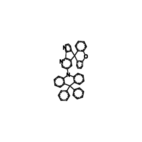 c1ccc(C2(c3ccccc3)c3ccccc3N(c3cnc4c(c3)C3(c5ccccc5Oc5ccccc53)c3cccnc3-4)c3ccccc32)cc1